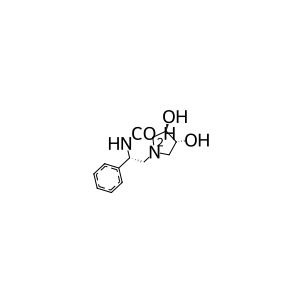 O=C(O)N[C@H](CN1C[C@@H](O)[C@H](O)C1)c1ccccc1